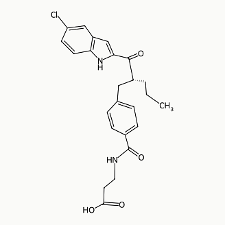 CCC[C@H](Cc1ccc(C(=O)NCCC(=O)O)cc1)C(=O)c1cc2cc(Cl)ccc2[nH]1